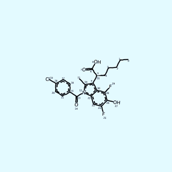 CCCCC[C@H](C(=O)O)c1c(C)n(C(=O)c2ccc(Cl)cc2)c2cc(F)c(O)c(F)c12